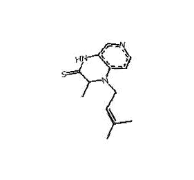 CC(C)=CCN1c2ccncc2NC(=S)C1C